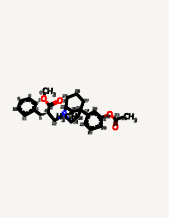 COC(=O)[C@@H](Cc1ccccc1)CN1CCC2(c3cccc(OC(C)=O)c3)CCCC1[C@@H]2C